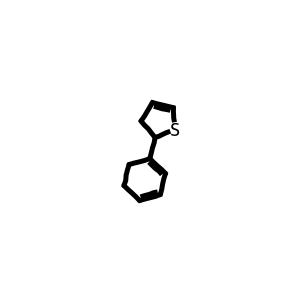 C1=CCCC(C2CC=CS2)=C1